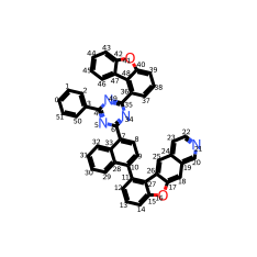 c1ccc(-c2nc(-c3ccc(-c4cccc5oc6cc7cnccc7cc6c45)c4ccccc34)nc(-c3cccc4oc5ccccc5c34)n2)cc1